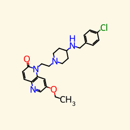 CCOc1cnc2ccc(=O)n(CCN3CCC(NCc4ccc(Cl)cc4)CC3)c2c1